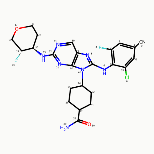 N#Cc1cc(F)c(Nc2nc3cnc(N[C@@H]4CCOC[C@H]4F)nc3n2C2CCC(C(N)=O)CC2)c(Cl)c1